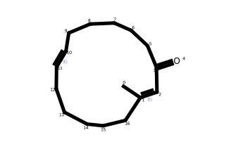 C/C1=C\C(=O)CCCCC/C=C/CCCCC1